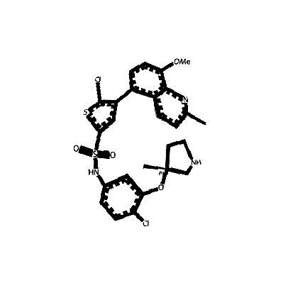 COc1ccc(-c2cc(S(=O)(=O)Nc3ccc(Cl)c(O[C@]4(C)CCNC4)c3)sc2Cl)c2ccc(C)nc12